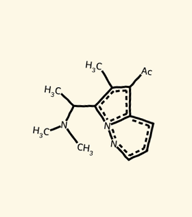 CC(=O)c1c(C)c(C(C)N(C)C)n2ncccc12